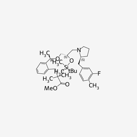 COC(=O)C(C)(C)Cc1ccccc1[C@@H](C)OC[C@H](CN1CCC[C@H]1Cc1ccc(C)c(F)c1)O[Si](C)(C)C(C)(C)C